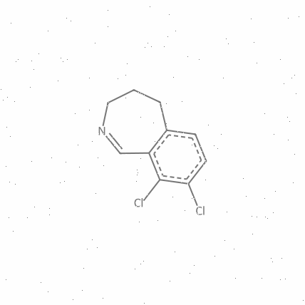 Clc1ccc2c(c1Cl)C=NCCC2